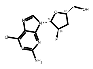 Nc1nc(Cl)c2ncn([C@@H]3O[C@H](CO)C[C@H]3F)c2n1